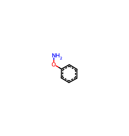 NOc1ccccc1